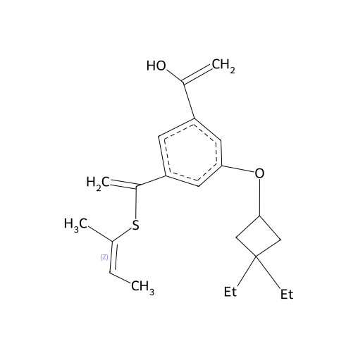 C=C(O)c1cc(OC2CC(CC)(CC)C2)cc(C(=C)S/C(C)=C\C)c1